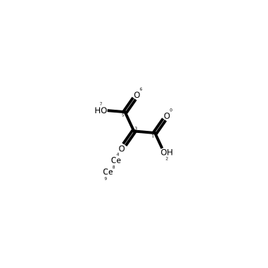 O=C(O)C(=O)C(=O)O.[Ce].[Ce]